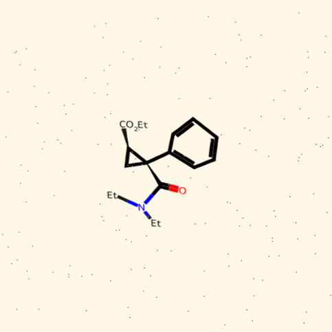 CCOC(=O)[C@@H]1C[C@@]1(C(=O)N(CC)CC)c1ccccc1